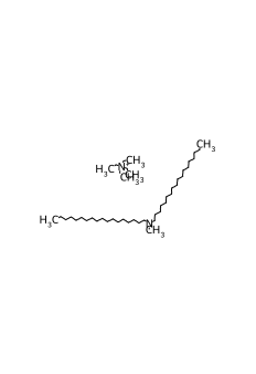 CCCCCCCCCCCCCCCCCCN(C)CCCCCCCCCCCCCCCCCC.CC[N+](CC)(CC)CC